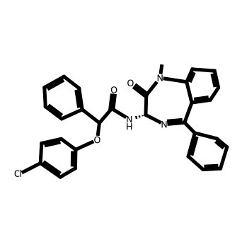 CN1C(=O)[C@@H](NC(=O)C(Oc2ccc(Cl)cc2)c2ccccc2)N=C(c2ccccc2)c2ccccc21